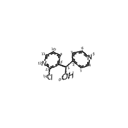 OC(c1ccncc1)c1cccnc1Cl